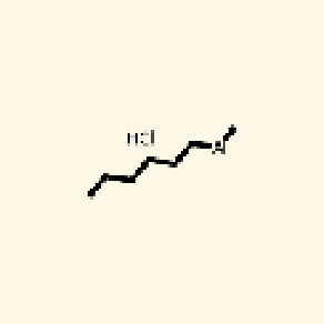 CCCCC[CH2][Al][CH3].Cl